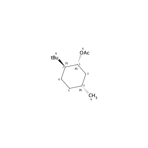 CC(=O)O[C@@H]1C[C@H](C)CC[C@H]1C(C)(C)C